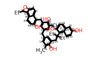 CCC1Oc2ccc3c(Cc4cc(Cc5cc(C)c(O)c(CC(CC)(CC)c6c(O)ccc7cc(O)ccc67)c5)cc(C)c4O)c(O)ccc3c21